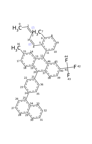 C/C=C\C=C/c1c(C)cccc1-c1c2cc(C)ccc2c(-c2ccc(-c3cccc4ccccc34)cc2)c2ccc(C(F)(F)F)cc12